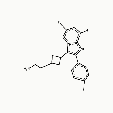 NCCC1CC(c2c(-c3ccc(F)cc3)[nH]c3c(F)cc(F)cc23)C1